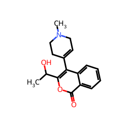 CC(O)c1oc(=O)c2ccccc2c1C1=CCN(C)CC1